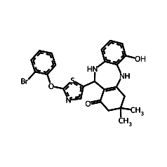 CC1(C)CC(=O)C2=C(C1)Nc1c(O)cccc1NC2c1cnc(Oc2ccccc2Br)s1